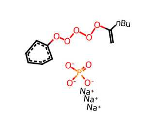 C=C(CCCC)OOOOOc1ccccc1.O=P([O-])([O-])[O-].[Na+].[Na+].[Na+]